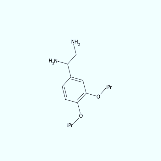 CC(C)Oc1ccc(C(N)CN)cc1OC(C)C